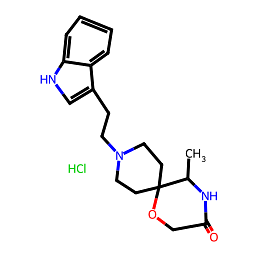 CC1NC(=O)COC12CCN(CCc1c[nH]c3ccccc13)CC2.Cl